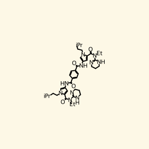 CCN(C(=O)c1cc(NC(=O)c2ccc(C(=O)Nc3cc(C(=O)N(CC)C4=NCCCN4)n(CCC(C)C)c3)cc2)cn1CCC(C)C)C1=NCCCN1